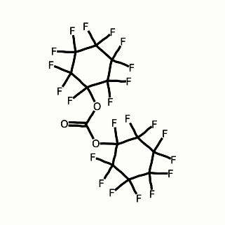 O=C(OC1(F)C(F)(F)C(F)(F)C(F)(F)C(F)(F)C1(F)F)OC1(F)C(F)(F)C(F)(F)C(F)(F)C(F)(F)C1(F)F